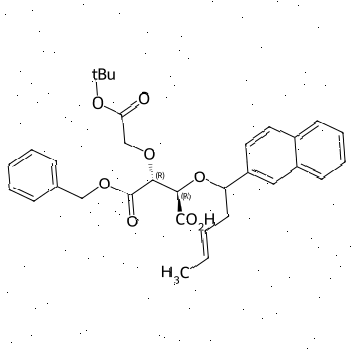 CC=CCC(O[C@@H](C(=O)O)[C@@H](OCC(=O)OC(C)(C)C)C(=O)OCc1ccccc1)c1ccc2ccccc2c1